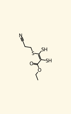 CCOC(=O)C(S)=C(S)SCCC#N